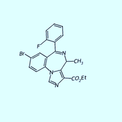 CCOC(=O)c1ncn2c1C(C)N=C(c1ccccc1F)c1cc(Br)ccc1-2